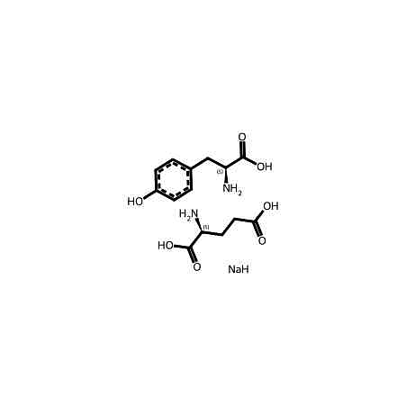 N[C@@H](CCC(=O)O)C(=O)O.N[C@@H](Cc1ccc(O)cc1)C(=O)O.[NaH]